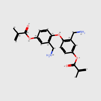 C=C(C)C(=O)Oc1ccc(Oc2ccc(OC(=O)C(=C)C)cc2CN)c(CN)c1